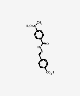 CN(C)c1ccc(C(=O)NN=Cc2ccc(C(=O)O)cc2)cc1